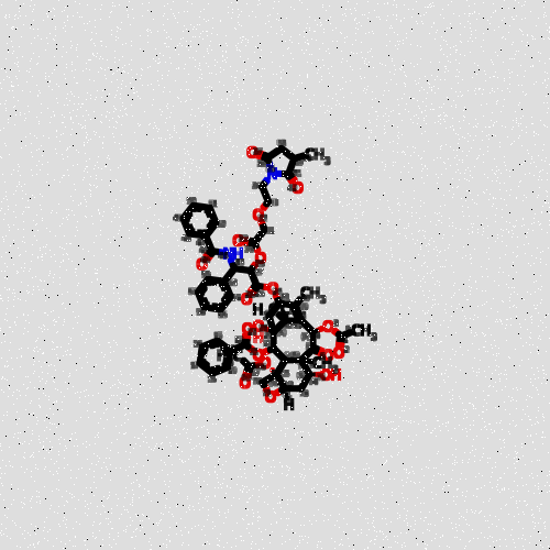 CC(=O)O[C@H]1C(=O)[C@@]2(C)C(C(OC(=O)c3ccccc3)[C@]3(O)CC(OC(=O)C(OC(=O)COCCN4C(=O)CC(C)C4=O)C(NC(=O)c4ccccc4)c4ccccc4)C(C)=C1C3(C)C)[C@]1(OC(C)=O)CO[C@@H]1C[C@@H]2O